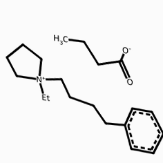 CCCC(=O)[O-].CC[N+]1(CCCCc2ccccc2)CCCC1